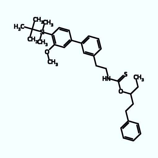 CCC(CCc1ccccc1)OC(=S)NCCc1cccc(-c2ccc([Si](C)(C)C(C)(C)C)c(OC)c2)c1